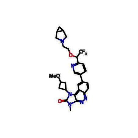 COC1CC(n2c(=O)n(C)c3nnc4ccc(-c5ccc(C(OCCN6CC7CC7C6)C(F)(F)F)nc5)cc4c32)C1